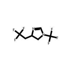 FC(F)(F)CC1[CH]N(C(F)(F)F)[C]=N1